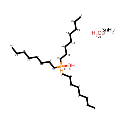 CCCCCCCC[PH](O)(CCCCCCCC)CCCCCCCC.O.[SnH2]